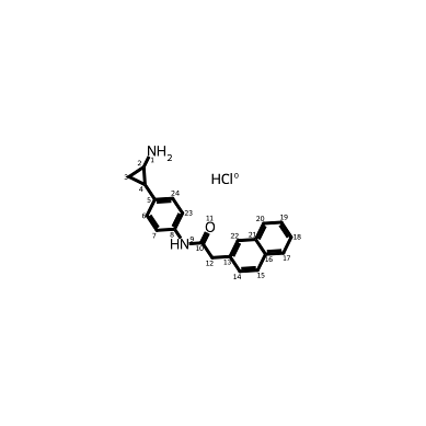 Cl.NC1CC1c1ccc(NC(=O)Cc2ccc3ccccc3c2)cc1